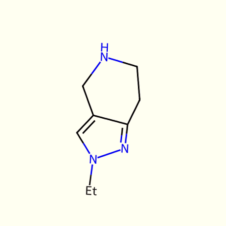 CCn1cc2c(n1)CCNC2